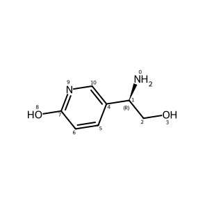 N[C@@H](CO)c1ccc(O)nc1